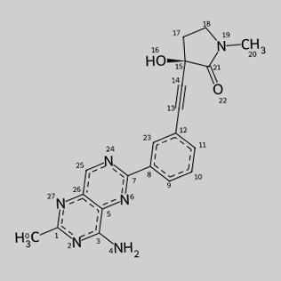 Cc1nc(N)c2nc(-c3cccc(C#C[C@]4(O)CCN(C)C4=O)c3)ncc2n1